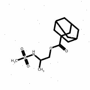 CC(COC(=O)C12CC3CC(CC(C3)C1)C2)NS(C)(=O)=O